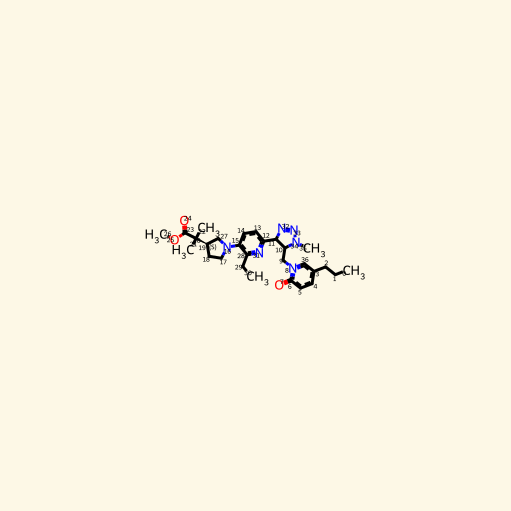 CCCc1ccc(=O)n(CC2C(c3ccc(N4CC[C@@H](C(C)(C)C(=O)OC)C4)c(CC)n3)N=NN2C)c1